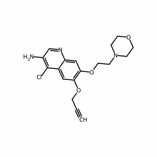 C#CCOc1cc2c(Cl)c(N)cnc2cc1OCCN1CCOCC1